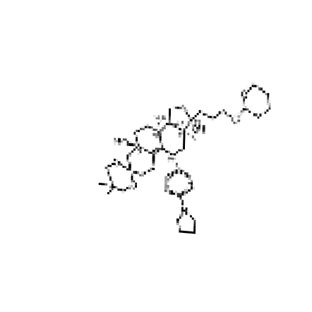 CC1(C)COC2(CCC3=C4[C@@H](CC[C@@]3(O)C2)[C@@H]2CC[C@@](O)(CCCOC3CCCCO3)[C@@]2(C)C[C@@H]4c2ccc(N3CCCC3)cc2)OC1